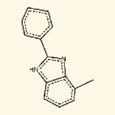 Cc1cccc2[nH]c(-c3ccccc3)nc12